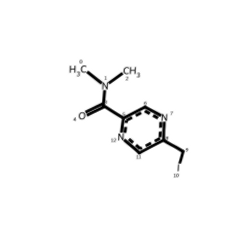 CN(C)C(=O)c1cnc(CI)cn1